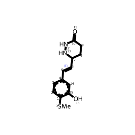 CSc1ccc(/C=C/C2CCC(=O)NN2)cc1O